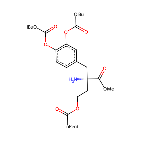 CCCCCC(=O)OCC[C@@](N)(Cc1ccc(OC(=O)OCC(C)C)c(OC(=O)OCC(C)C)c1)C(=O)OC